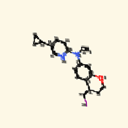 CN(c1ccc2c(c1)OCC[C@H]2CI)c1ccc(C2CC2)cn1